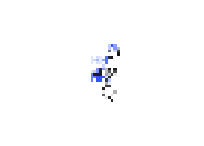 CC1(C)CC=C(c2ccc(Nc3cccnc3)nc2)CC1.NC=O